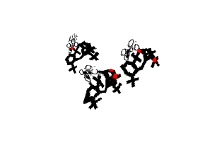 CC(C)(C)c1ccc2c(C(C)(C)C)c1Cc1c(C(C)(C)C)ccc(c1C(C)(C)C)OP(=O)([O-])O2.CC(C)(C)c1ccc2c(C(C)(C)C)c1Cc1c(C(C)(C)C)ccc(c1C(C)(C)C)OP(=O)([O-])O2.CC(C)(C)c1ccc2c(C(C)(C)C)c1Cc1c(C(C)(C)C)ccc(c1C(C)(C)C)OP(=O)([O-])O2.[Al+3]